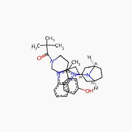 Cc1nc2ccccc2n1[C@H]1C[C@H]2CC[C@@H](C1)N2CCC1(c2cccc(O)c2)CCN(C(=O)C(C)(C)C)CC1